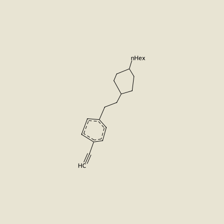 C#Cc1ccc(CCC2CCC(CCCCCC)CC2)cc1